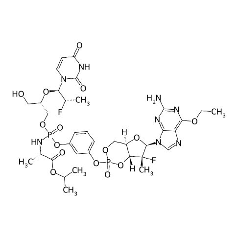 CCOc1nc(N)nc2c1ncn2[C@@H]1O[C@@H]2COP(=O)(Oc3cccc(OP(=O)(N[C@@H](C)C(=O)OC(C)C)OC[C@H](CO)O[C@H]([C@H](C)F)n4ccc(=O)[nH]c4=O)c3)O[C@H]2[C@@]1(C)F